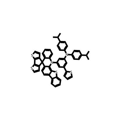 CC(C)c1ccc(N(c2ccc(C(C)C)cc2)c2cc(-c3cccs3)cc(N3c4ccccc4C4(c5ccsc5-c5sccc54)c4ccc5c(sc6ccccc65)c43)c2)cc1